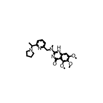 COc1cc2[nH]c(N(C)Cc3cccc(C(C)N4CCCC4)n3)nc(=O)c2c(OC)c1OC